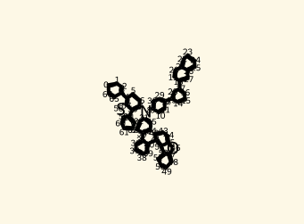 c1ccc(-c2ccc(N(c3ccc(-c4cccc(-c5ccc6ccccc6c5)c4)cc3)c3ccc(-c4ccccc4-c4cccc5oc6ccccc6c45)cc3)c3c2sc2ccccc23)cc1